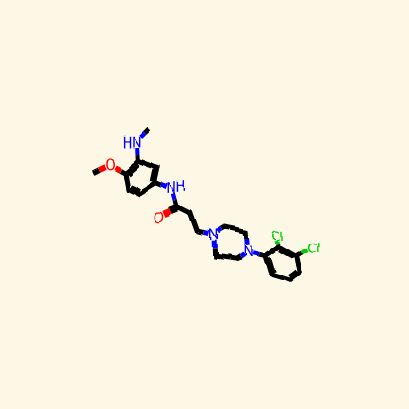 CNc1cc(NC(=O)CCN2CCN(c3cccc(Cl)c3Cl)CC2)ccc1OC